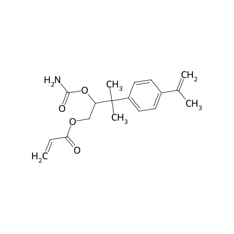 C=CC(=O)OCC(OC(N)=O)C(C)(C)c1ccc(C(=C)C)cc1